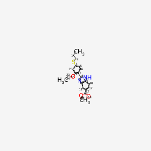 CCCSc1ccc(-c2nc3cc(C(=O)OC)ccc3[nH]2)c(OCC)c1